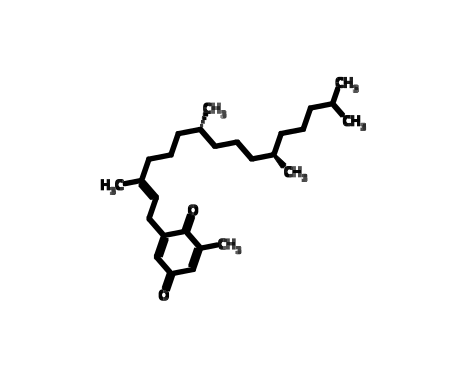 CC1=CC(=O)C=C(C/C=C(\C)CCC[C@H](C)CCC[C@H](C)CCCC(C)C)C1=O